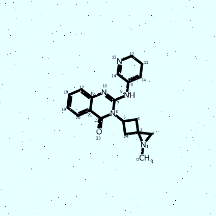 CN1CC12CC(n1c(NC3=CCCN=C3)nc3ccccc3c1=O)C2